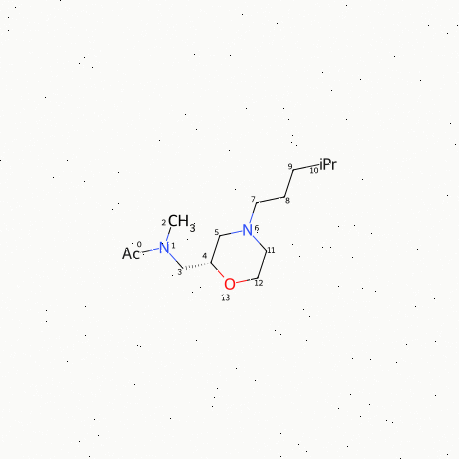 CC(=O)N(C)C[C@@H]1CN(CCCC(C)C)CCO1